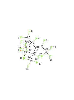 FC(=C(C(F)(C(F)F)C(F)(F)F)C(F)(C(F)(F)F)C(F)(F)F)C(F)(F)F